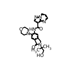 CC(C)(CO)N1Cc2cc(NC(=O)c3cnn4cccnc34)c(N3CCOCC3)cc2C1=O